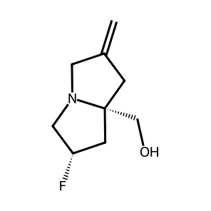 C=C1CN2C[C@@H](F)C[C@]2(CO)C1